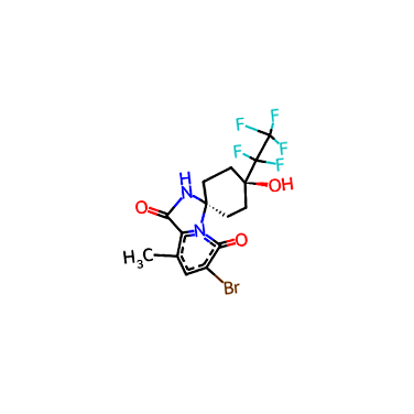 Cc1cc(Br)c(=O)n2c1C(=O)N[C@]21CC[C@@](O)(C(F)(F)C(F)(F)F)CC1